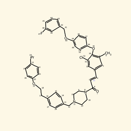 Cc1cc(/C=C/C(=O)N2CCN(Cc3ccc(CCOc4ccc(C(C)C)cc4)cc3)CC2)cc(Cl)c1Oc1ccc(OCc2cccc(F)c2)cn1